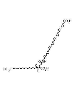 O=C(O)CCCCCCCCCCCCCCC(=O)N[C@@H](CCC(=O)NCCOCCOCCOCCOCCOCCOCCOCCOCCC(=O)O)C(=O)O